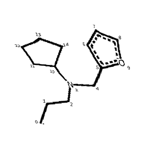 [CH2]CCN(Cc1ccco1)C1CCCC1